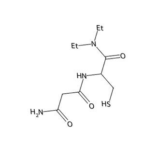 CCN(CC)C(=O)C(CS)NC(=O)CC(N)=O